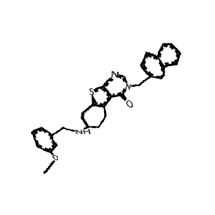 COc1cccc(CNC2CCc3c(sc4ncn(Cc5ccc6ccccc6c5)c(=O)c34)C2)c1